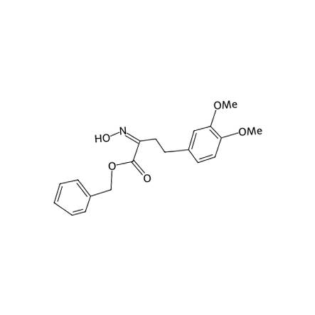 COc1ccc(CC/C(=N/O)C(=O)OCc2ccccc2)cc1OC